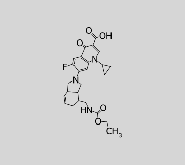 CCOC(=O)NCC1CC=CC2CN(c3cc4c(cc3F)c(=O)c(C(=O)O)cn4C3CC3)CC21